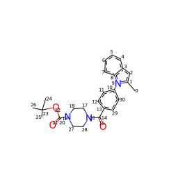 Cc1cc2ccccc2n1-c1ccc(C(=O)N2CCN(C(=O)OC(C)(C)C)CC2)cc1